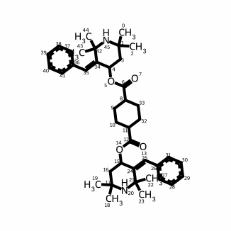 CC1(C)CC(OC(=O)C2CCC(C(=O)OC3CC(C)(C)NC(C)(C)/C3=C\c3ccccc3)CC2)/C(=C/c2ccccc2)C(C)(C)N1